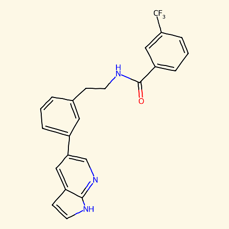 O=C(NCCc1cccc(-c2cnc3[nH]ccc3c2)c1)c1cccc(C(F)(F)F)c1